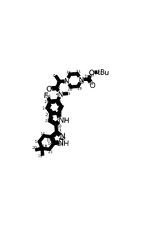 CC(C(=O)N(C)c1cc2[nH]c(-c3n[nH]c4c3CCC(C)(C)C4)cc2cc1F)N1CCN(C(=O)OC(C)(C)C)CC1